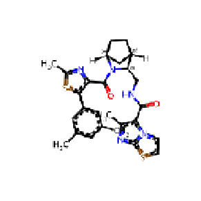 Cc1cc(C)cc(-c2sc(C)nc2C(=O)N2[C@@H]3CC[C@@H](C3)[C@H]2CNC(=O)c2c(C)nc3sccn23)c1